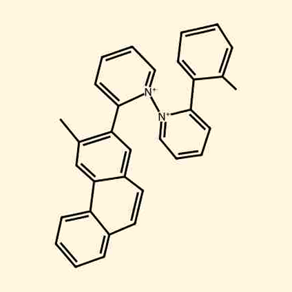 Cc1ccccc1-c1cccc[n+]1-[n+]1ccccc1-c1cc2ccc3ccccc3c2cc1C